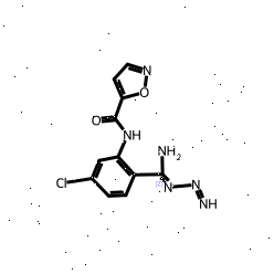 N=N/N=C(\N)c1ccc(Cl)cc1NC(=O)c1ccno1